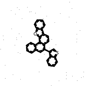 c1ccc2c(c1)cc(-c1csc3ccccc13)c1ccc3c4ccccc4oc3c12